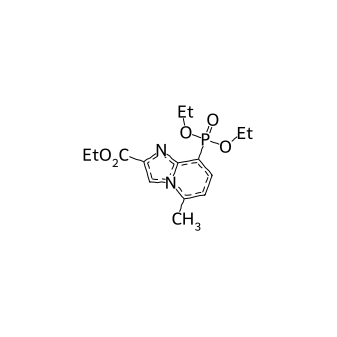 CCOC(=O)c1cn2c(C)ccc(P(=O)(OCC)OCC)c2n1